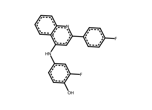 Oc1ccc(Nc2cc(-c3ccc(F)cc3)nc3ccccc23)cc1F